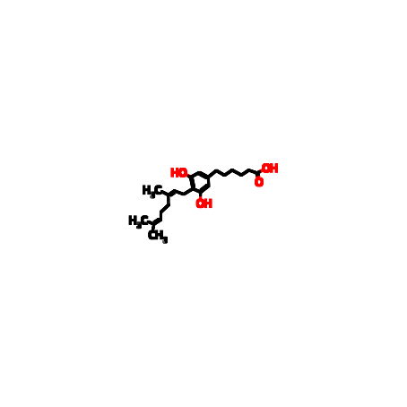 CC(C)=CCCC(C)=CCc1c(O)cc(CCCCCC(=O)O)cc1O